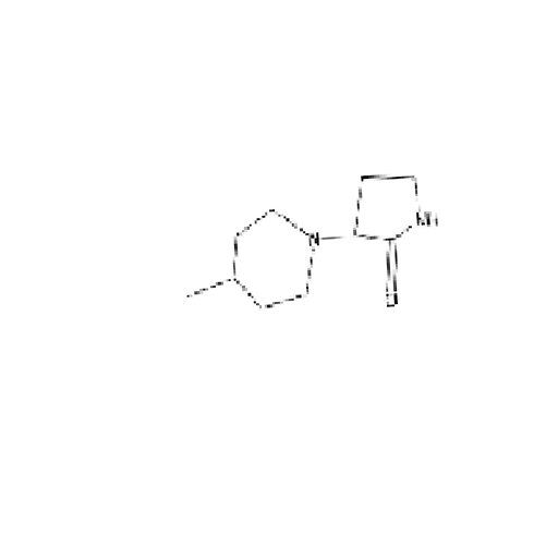 CC1CCN(C2CCNC2=O)CC1